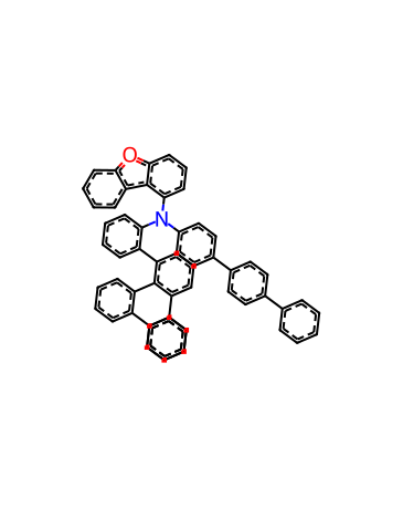 c1ccc(-c2ccc(-c3ccc(N(c4ccccc4-c4cccc(-c5ccccc5)c4-c4ccccc4-c4ccccc4)c4cccc5oc6ccccc6c45)cc3)cc2)cc1